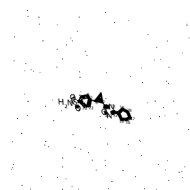 NS(=O)(=O)c1ccc([C@H]2C[C@@H]2c2nc(C3CCCCC3)no2)cc1